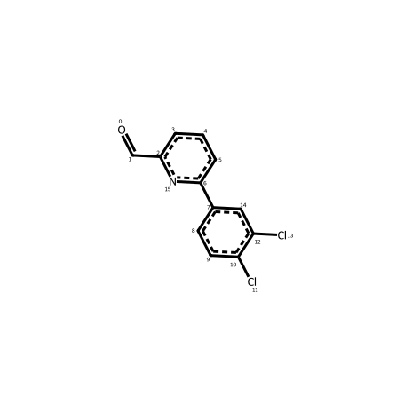 O=Cc1cccc(-c2ccc(Cl)c(Cl)c2)n1